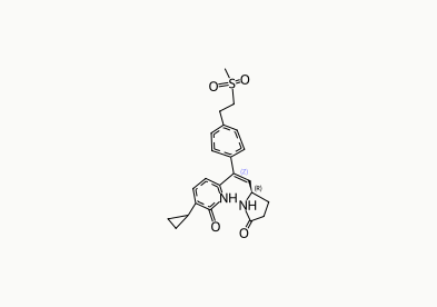 CS(=O)(=O)CCc1ccc(/C(=C/[C@H]2CCC(=O)N2)c2ccc(C3CC3)c(=O)[nH]2)cc1